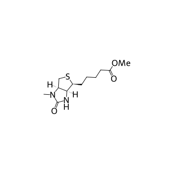 COC(=O)CCCC[C@@H]1SC[C@H]2[C@@H]1NC(=O)N2C